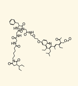 CCC(/C=C(\C)c1nc2ccc(OCCOCNC(=O)CNC(=O)C(Cc3ccccc3)NC(=O)CNC(=O)CNC(=O)CCCCCN3C(=O)CC(C(CC)CC)C3=O)cc2c(CC)c1CC(C)C)=C(\COC=O)C(C)=O